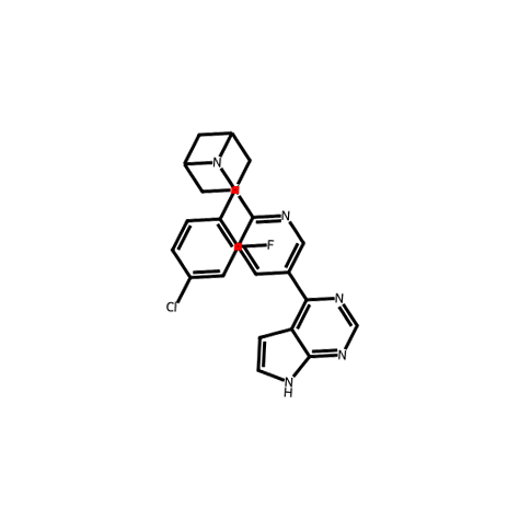 Fc1cc(Cl)ccc1CN1C2CC1CN(c1ccc(-c3ncnc4[nH]ccc34)cn1)C2